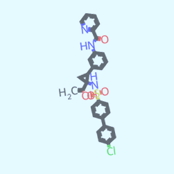 C=C(O)C1(NS(=O)(=O)c2ccc(-c3ccc(Cl)cc3)cc2)CC1c1cccc(NC(=O)c2ccccn2)c1